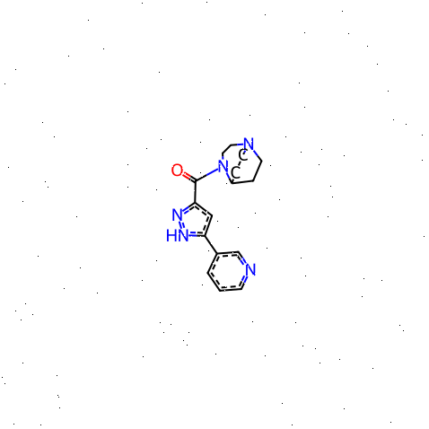 O=C(c1cc(-c2cccnc2)[nH]n1)N1CCN2CCC1CC2